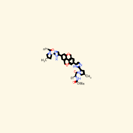 CCCC(=O)N1C[C@@H](C)C[C@H]1c1ncc(-c2cc3c4c(c2)OCc2cc(-c5cnc(C6C[C@H](C)CN6C(=O)[C@H](CC)NC(=O)OC)[nH]5)cc(c2-4)OC3)[nH]1